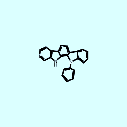 C1=Cc2c([nH]c3c2ccc2c4ccccc4n(-c4ccccc4)c23)C=I1